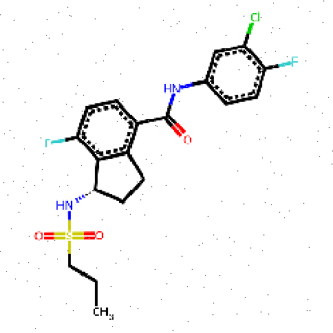 CCCS(=O)(=O)N[C@H]1CCc2c(C(=O)Nc3ccc(F)c(Cl)c3)ccc(F)c21